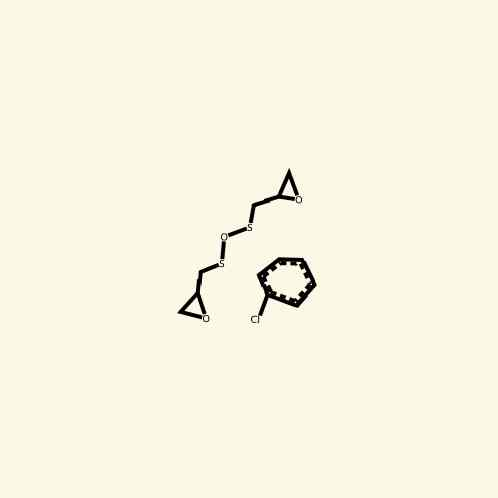 C1OC1CSOSCC1CO1.Clc1ccccc1